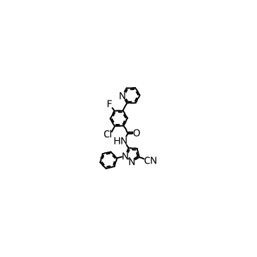 N#Cc1cc(NC(=O)c2cc(-c3ccccn3)c(F)cc2Cl)n(-c2ccccc2)n1